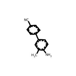 Cc1cc(-c2ccc(C#N)cc2)ccc1N